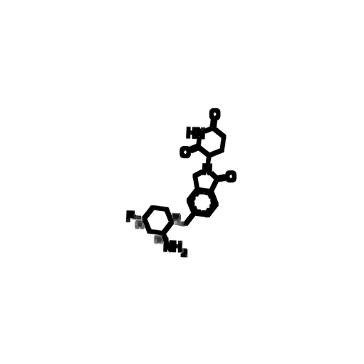 N[C@H]1C[C@H](F)CC[C@@H]1Cc1ccc2c(c1)CN(C1CCC(=O)NC1=O)C2=O